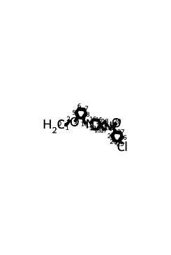 C=CCOc1ccccc1CN1CCC2(CC1)CN(C(=O)c1ccc(Cl)cc1)C2